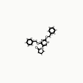 O=C1CCCN1c1cnc(OCc2ccccc2)nc1OCc1ccccc1